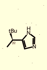 C[C@H](c1cnc[nH]1)C(C)(C)C